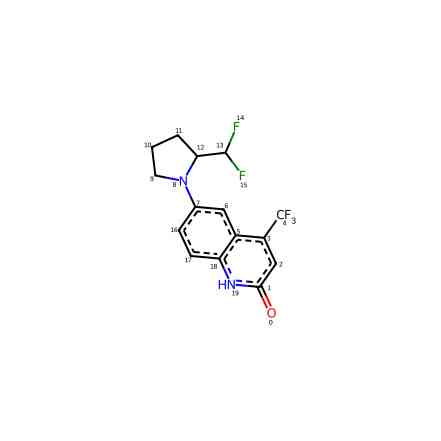 O=c1cc(C(F)(F)F)c2cc(N3CCCC3C(F)F)ccc2[nH]1